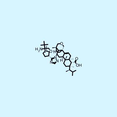 CC(C)[C@@H](C)[C@@]1(C)CC[C@]2(C)[C@H]3CC[C@@H]4[C@@]5(COC[C@@]4(C)[C@@H](OC[C@](C)(N)C(C)(C)C)[C@H](n4ncnc4[C@@H]4CCNC4)C5)C3=CC[C@@]2(C)[C@@H]1C(=O)O